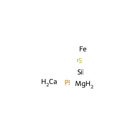 [CaH2].[Fe].[MgH2].[P].[S].[Si]